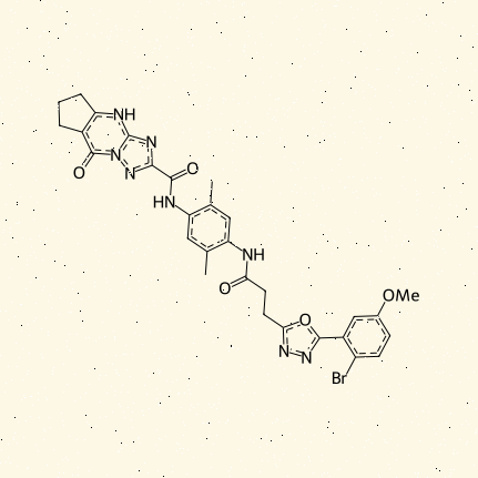 COc1ccc(Br)c(-c2nnc(CCC(=O)Nc3cc(C)c(NC(=O)c4nc5[nH]c6c(c(=O)n5n4)CCC6)cc3C)o2)c1